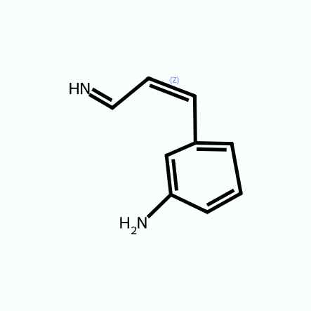 N=C/C=C\c1cccc(N)c1